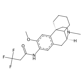 COc1cc2c(cc1NC(=O)CC(F)(F)F)C[C@H]1C3CCCC[C@@]23CCN1C